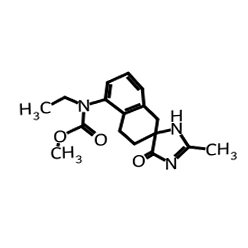 CCN(C(=O)OC)c1cccc2c1CCC1(C2)NC(C)=NC1=O